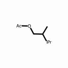 CC(=O)OCC(C)C(C)C